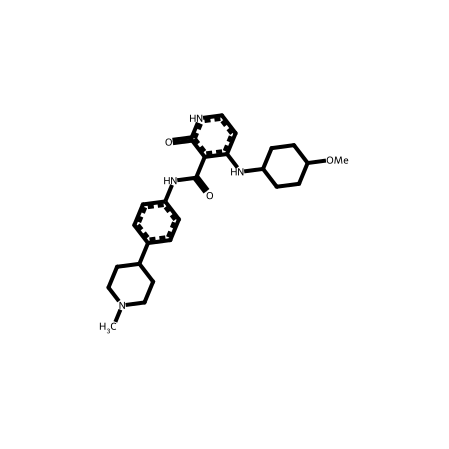 COC1CCC(Nc2cc[nH]c(=O)c2C(=O)Nc2ccc(C3CCN(C)CC3)cc2)CC1